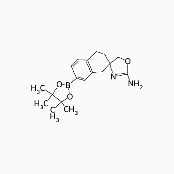 CC1(C)OB(c2ccc3c(c2)CC2(CC3)COC(N)=N2)OC1(C)C